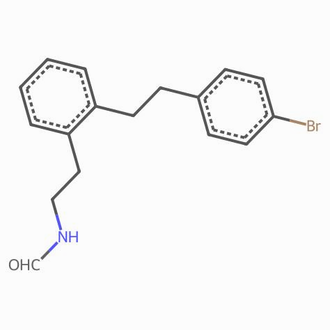 O=CNCCc1ccccc1CCc1ccc(Br)cc1